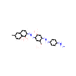 CN=Nc1ccc(N=Nc2cc(OC)c(N=Nc3ccc4cc(C)ccc4c3O)cc2CO)cc1